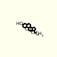 CCC1CCC2C3CC=C4C[C@@H](O)CCC4(C)C3CCC12C